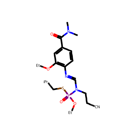 CCOc1cc(C(=O)N(C)C)ccc1N=CN(CCC#N)P(=O)(OCC)SCC(C)C